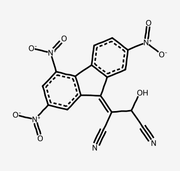 N#CC(=C1c2cc([N+](=O)[O-])ccc2-c2c1cc([N+](=O)[O-])cc2[N+](=O)[O-])C(O)C#N